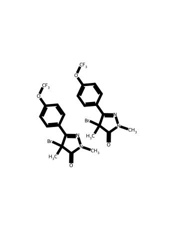 CN1N=C(c2ccc(OC(F)(F)F)cc2)C(C)(Br)C1=O.CN1N=C(c2ccc(OC(F)(F)F)cc2)C(C)(Br)C1=O